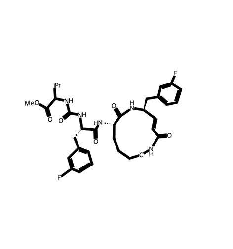 COC(=O)C(NC(=O)N[C@@H](Cc1cccc(F)c1)C(=O)N[C@H]1CCCCNC(=O)/C=C/[C@H](Cc2cccc(F)c2)NC1=O)C(C)C